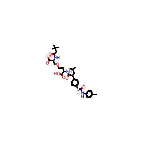 Cc1ccc(NC(=O)Nc2ccc(C(CC(C)C)C(=O)NC(CCOCC(NC(=O)CC(C)(C)C)C(=O)O)C(=O)O)cc2)cc1